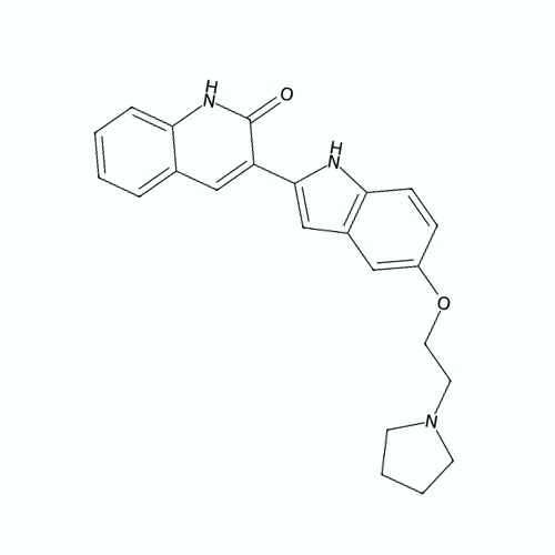 O=c1[nH]c2ccccc2cc1-c1cc2cc(OCCN3CCCC3)ccc2[nH]1